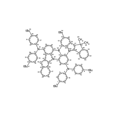 CC(C)(C)c1ccc(N(c2ccc(C(C)(C)C)cc2)c2cc3c4c(c2)-n2c5c(ccc(N(c6ccc(C(C)(C)C)cc6)c6ccc(C(C)(C)C)cc6)c5c5oc6ccccc6c52)B4c2cc(C(C)(C)C)cc4c5c(n-3c24)-c2ccccc2C5(C)C)cc1